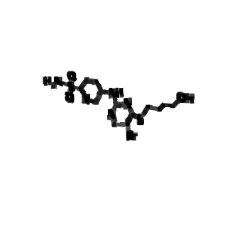 NS(=O)(=O)c1ccc(Nc2ncc(Br)c(SCCCCO)n2)cn1